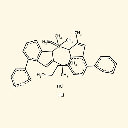 CCCc1ccc(-c2ccccc2)c2c1[CH]([Zr]([CH3])([CH3])(=[SiH2])[CH]1C(C(C)C)=Cc3c(-c4ccccc4)cccc31)C(C)=C2.Cl.Cl